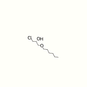 CCCCCCOC[C@@H](O)CCl